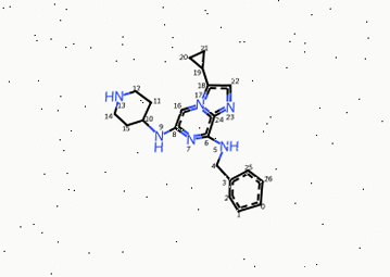 c1ccc(CNc2nc(NC3CCNCC3)cn3c(C4CC4)cnc23)cc1